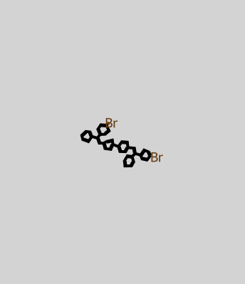 Brc1ccc(C(=Cc2ccc(-c3ccc(C=C(c4ccccc4)c4ccc(Br)cc4)cc3)cc2)c2ccccc2)cc1